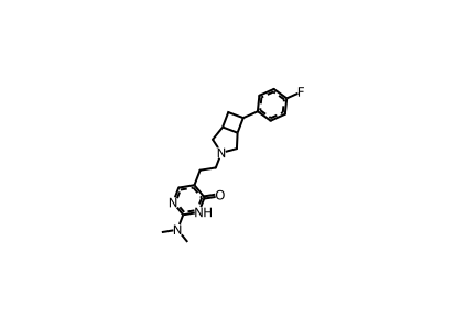 CN(C)c1ncc(CCN2CC3CC(c4ccc(F)cc4)C3C2)c(=O)[nH]1